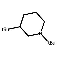 CC(C)(C)C1CCCN(C(C)(C)C)C1